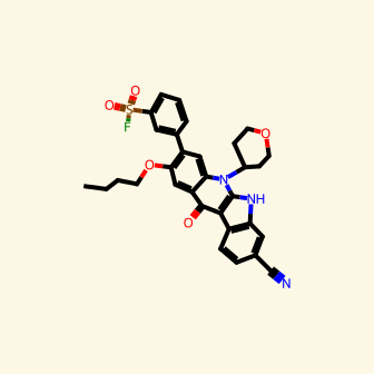 CCCCOc1cc2c(=O)c3c4ccc(C#N)cc4[nH]c3n(C3CCOCC3)c2cc1-c1cccc(S(=O)(=O)F)c1